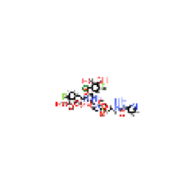 O=C(NCCCS(=O)(=O)N1CCN(C(=O)NC(C(=O)N[C@H]2Cc3ccc(F)c(C(=O)O)c3OB2O)c2cc(F)c(O)c(O)c2Cl)C1=O)Nc1cccnc1